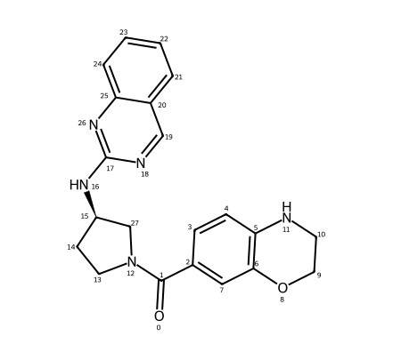 O=C(c1ccc2c(c1)OCCN2)N1CC[C@@H](Nc2ncc3ccccc3n2)C1